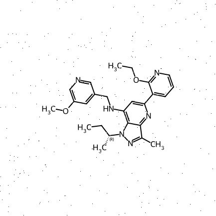 CCOc1ncccc1-c1cc(NCc2cncc(OC)c2)c2c(n1)c(C)nn2[C@H](C)CC